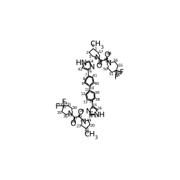 C[C@H]1C[C@@H](c2nc(-c3ccc(-c4ccc(-c5c[nH]c([C@@H]6C[C@H](C)CN6C(=O)C(=O)N6CCC(F)(F)CC6)n5)cc4)cc3)c[nH]2)N(C(=O)C(=O)N2CCC(F)(F)CC2)C1